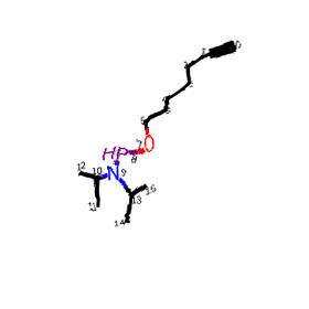 C#CCCCCCOPN(C(C)C)C(C)C